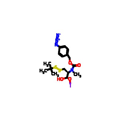 CN(C(=O)OCc1ccc(N=[N+]=[N-])cc1)[C@H](CSSC(C)(C)C)C(O)OI